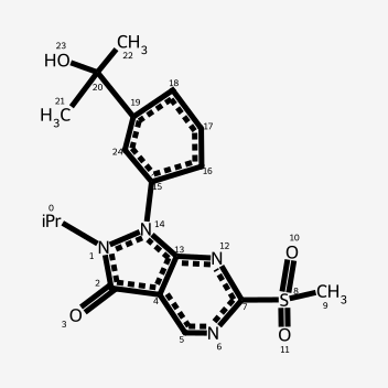 CC(C)n1c(=O)c2cnc(S(C)(=O)=O)nc2n1-c1cccc(C(C)(C)O)c1